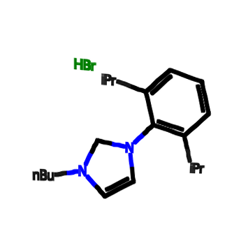 Br.CCCCN1C=CN(c2c(C(C)C)cccc2C(C)C)C1